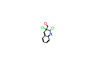 O=CC1(Cl)C=c2ccccc2=NC1Cl